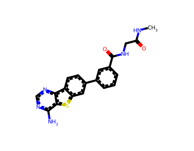 CNC(=O)CNC(=O)c1cccc(-c2ccc3c(c2)sc2c(N)ncnc23)c1